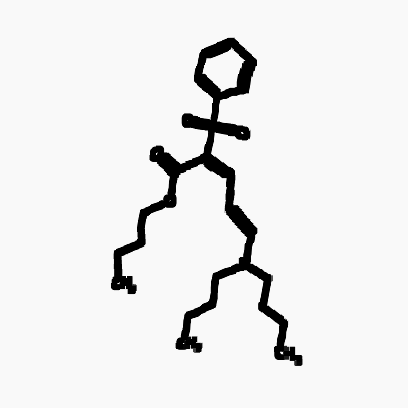 CCCCOC(=O)/C(=C\C=C\N(CCCC)CCCC)S(=O)(=O)c1ccccc1